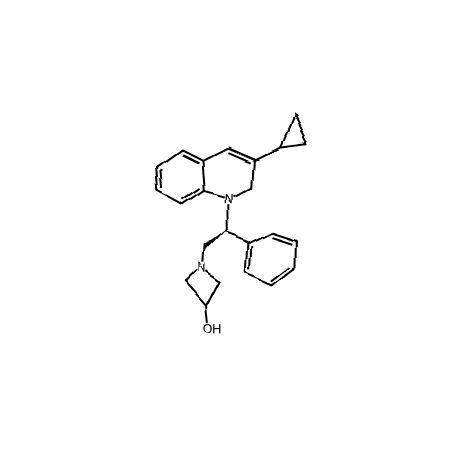 OC1CN(C[C@H](c2ccccc2)N2CC(C3CC3)=Cc3ccccc32)C1